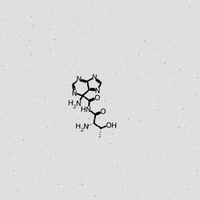 C[C@@H](O)[C@H](N)C(=O)NC(=O)C1(N)N=CN=C2N=CN=C21